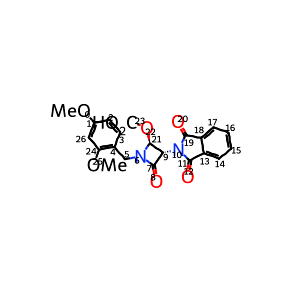 COc1ccc(CN2C(=O)[C@@H](N3C(=O)c4ccccc4C3=O)[C@@H]2OC(=O)O)c(OC)c1